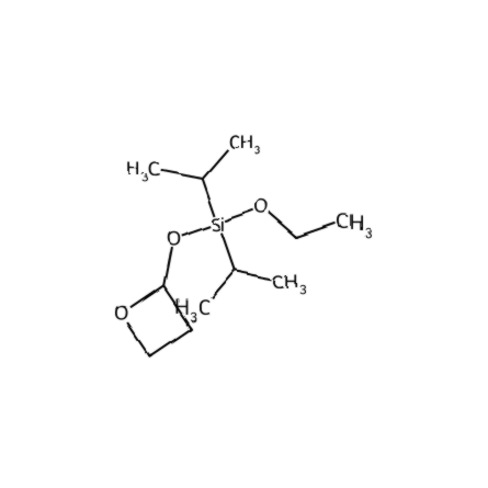 CCO[Si](OC1CCO1)(C(C)C)C(C)C